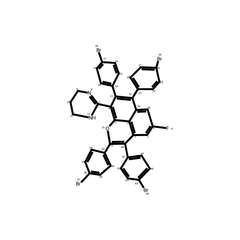 Fc1cc2c3c(c(C4=NCCCN4)c(-c4ccc(Br)cc4)c(-c4ccc(Br)cc4)c3c1)OC(c1ccc(Br)cc1)=C2c1ccc(Br)cc1